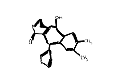 Cc1cc2c(O)c3c(c(-c4ccsc4)c2cc1C)C(=O)OC3